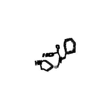 O=C(O)N(Cc1ccccc1)C[C@@H]1CCNC1